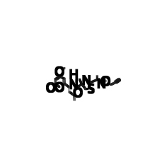 C#CCO/N=C(\C)C1=NC(C)(C(=O)N[C@H](CCC)c2cc(OC)cc(=O)o2)CS1